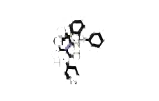 CC(=O)/C(C(=O)Nc1ccncc1)=C(/NB(c1ccccc1)c1ccccc1)C(Cl)(Cl)Cl